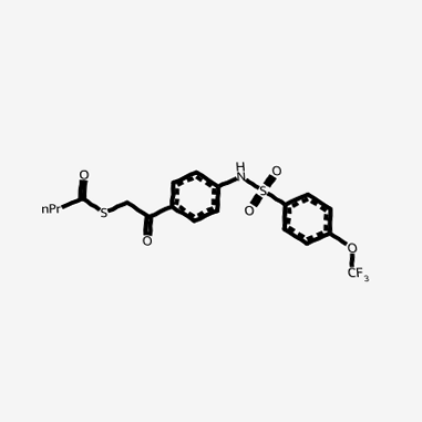 CCCC(=O)SCC(=O)c1ccc(NS(=O)(=O)c2ccc(OC(F)(F)F)cc2)cc1